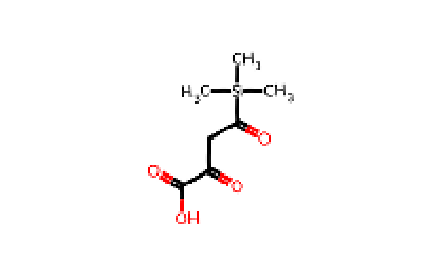 C[Si](C)(C)C(=O)CC(=O)C(=O)O